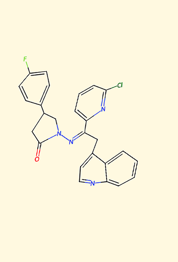 O=C1CC(c2ccc(F)cc2)CN1N=C(Cc1ccnc2ccccc12)c1cccc(Cl)n1